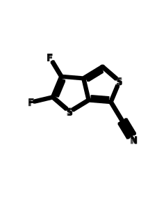 N#Cc1scc2c(F)c(F)sc12